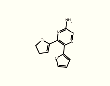 Nc1nnc(-c2ccco2)c(C2=CCCO2)n1